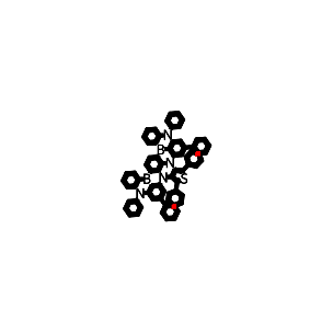 c1ccc(-c2cc3c4c(c2)N2c5c(ccc6c5N(c5cc(-c7ccccc7)cc7c5B6c5ccccc5N7c5ccccc5)c5c(-c6ccccc6)sc(-c6ccccc6)c52)B4c2ccccc2N3c2ccccc2)cc1